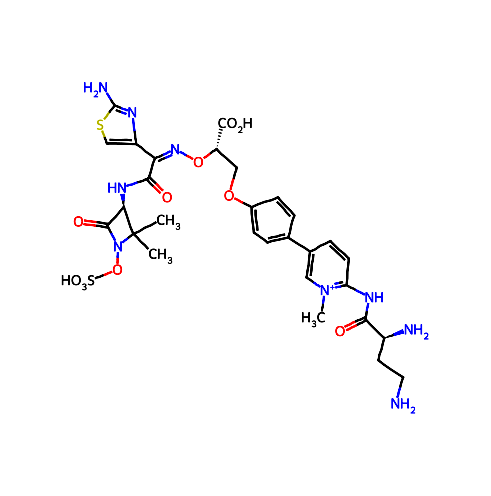 C[n+]1cc(-c2ccc(OC[C@H](O/N=C(\C(=O)N[C@@H]3C(=O)N(OS(=O)(=O)O)C3(C)C)c3csc(N)n3)C(=O)O)cc2)ccc1NC(=O)[C@@H](N)CCN